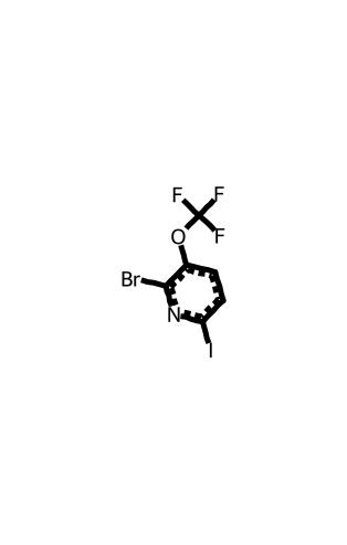 FC(F)(F)Oc1ccc(I)nc1Br